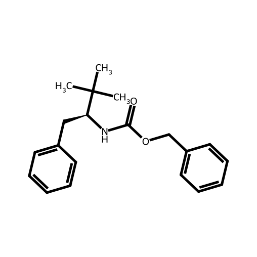 CC(C)(C)[C@H](Cc1ccccc1)NC(=O)OCc1ccccc1